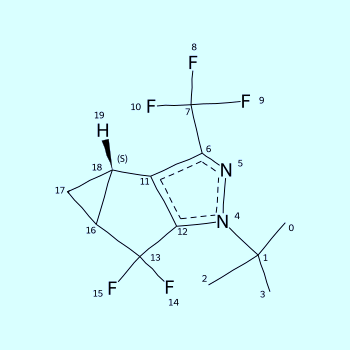 CC(C)(C)n1nc(C(F)(F)F)c2c1C(F)(F)C1C[C@H]21